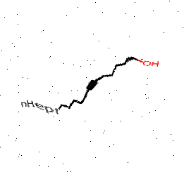 CCCCCCCCCCCC#CCCCCCO